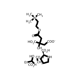 CC(=O)O.CCC(O)C(=O)O.C[N+](C)(C)CCOC(=O)CC(O)(CC(=O)[O-])C(=O)O.O=C(O)[C@@H]1CCCN1